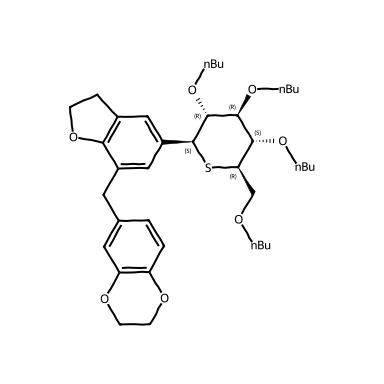 CCCCOC[C@H]1S[C@@H](c2cc3c(c(Cc4ccc5c(c4)OCCO5)c2)OCC3)[C@H](OCCCC)[C@@H](OCCCC)[C@@H]1OCCCC